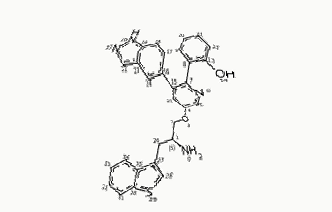 N[C@H](COc1cnc(-c2ccccc2O)c(-c2ccc3[nH]ncc3c2)c1)Cc1csc2ccccc12